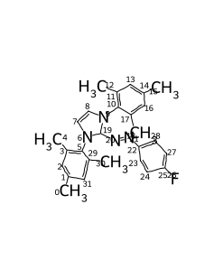 Cc1cc(C)c(N2C=CN(c3c(C)cc(C)cc3C)C2/N=N/c2ccc(F)cc2)c(C)c1